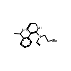 C=CN(CCC(C)(C)C)C1=C(c2ccccc2C(C)N)C=CCN1